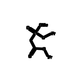 COP(=O)(CC(=O)OC(C)C)OC(C)C